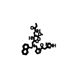 CCC(=O)NC[C@H](NC(=O)CN(Cc1cccc2ccccc12)CC1CCCN1C(=O)Cc1c[nH]cn1)C(=O)OC